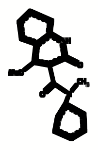 COc1c(C(=O)N(C)c2ccccc2)c(=O)[nH]c2ccccc12